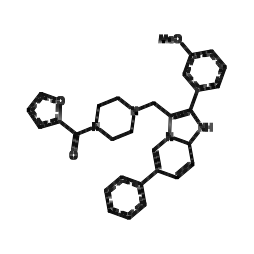 COc1cccc(C2=C(CN3CCN(C(=O)c4ccco4)CC3)N3C=C(c4ccccc4)C=CC3N2)c1